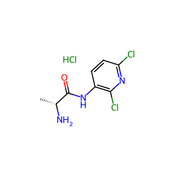 C[C@@H](N)C(=O)Nc1ccc(Cl)nc1Cl.Cl